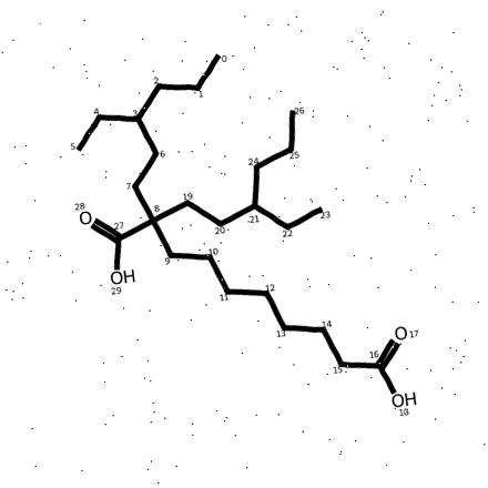 CCCC(CC)CCC(CCCCCCCC(=O)O)(CCC(CC)CCC)C(=O)O